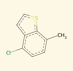 Cc1ccc(Cl)c2ccsc12